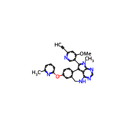 C#Cc1cc(OC)c(-c2c3c4c(ncnc4n2C)NCc2cc(Oc4cccc(C)n4)ccc2-3)cn1